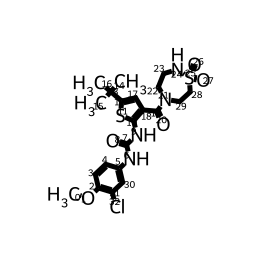 COc1ccc(NC(=O)Nc2sc(C(C)(C)C)cc2C(=O)N2CCNS(=O)(=O)CC2)cc1Cl